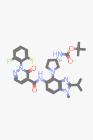 CC(C)c1nc2c(N3CC[C@H](NC(=O)OC(C)(C)C)C3)c(NC(=O)c3ccnn(-c4c(F)cccc4F)c3=O)ccc2n1C